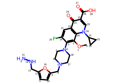 COc1c(N2CCN(Cc3ccc(CNN)o3)CC2)c(F)cc2c(=O)c(C(=O)O)cn(C3CC3)c12